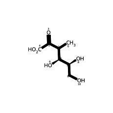 CC(C(=O)C(=O)O)[C@H](O)[C@@H](O)CO